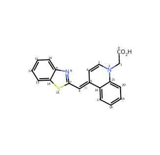 O=C(O)CN1C=C/C(=C\c2nc3ccccc3s2)c2ccccc21